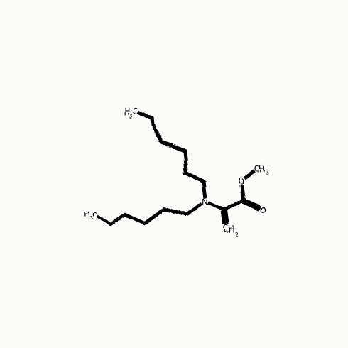 C=C(C(=O)OC)N(CCCCCC)CCCCCC